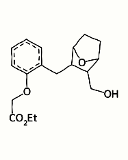 CCOC(=O)COc1ccccc1CC1C2CCC(O2)C1CO